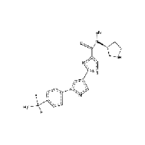 CCCN(C(=O)c1csc(-c2cnn(-c3ccc(C(C)(F)F)cc3)c2)n1)[C@H]1CCNC1